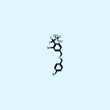 O=P(O)(O)C(F)(F)c1ccc(COCc2ccc(Br)cc2)cc1Br